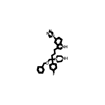 Fc1ccc(C(CCCc2c[nH]c3ccc(-n4cnnc4)cc23)(COCc2ccccc2)N2CCNCC2)cc1